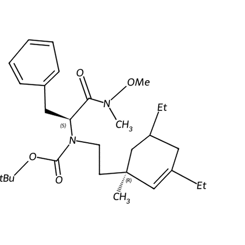 CCC1=C[C@@](C)(CCN(C(=O)OC(C)(C)C)[C@@H](Cc2ccccc2)C(=O)N(C)OC)CC(CC)C1